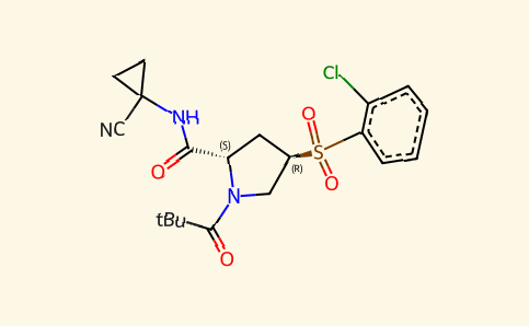 CC(C)(C)C(=O)N1C[C@H](S(=O)(=O)c2ccccc2Cl)C[C@H]1C(=O)NC1(C#N)CC1